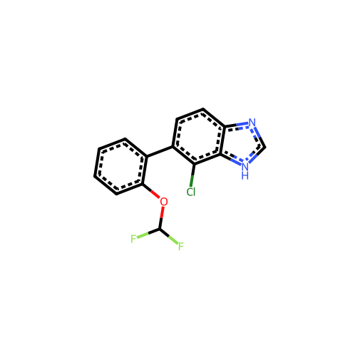 FC(F)Oc1ccccc1-c1ccc2nc[nH]c2c1Cl